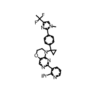 CC(C)c1ncccc1-c1ncc2c(n1)N(C1(c3ccc(-c4nc(C(C)(F)F)cn4C)cc3)CC1)CCO2